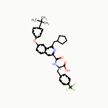 CC(C)(C)c1ccc(Oc2ccc3cc(C(=O)N[C@H](Cc4ccc(C(F)(F)F)cc4)C(=O)O)nc(CC4CCCC4)c3c2)cc1